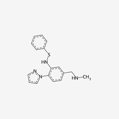 CNCc1ccc(-n2cccn2)c(NSc2ccccc2)c1